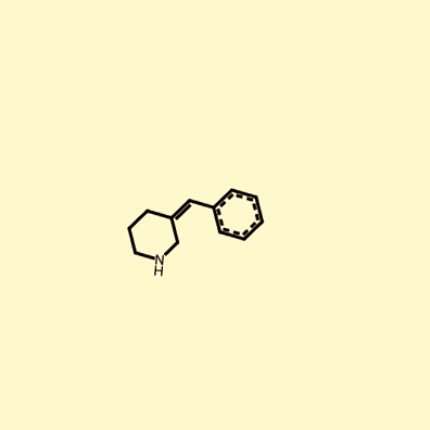 C(=C1CCCNC1)c1ccccc1